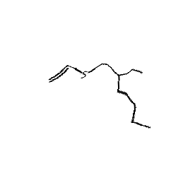 C=CSCC(CC)CCCC